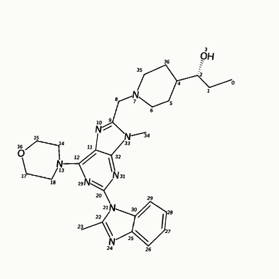 CC[C@@H](O)C1CCN(Cc2nc3c(N4CCOCC4)nc(-n4c(C)nc5ccccc54)nc3n2C)CC1